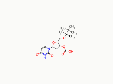 CC(C)(C)[Si](C)(C)OCC1OC(n2ccc(=O)[nH]c2=O)CC1OC(=O)O